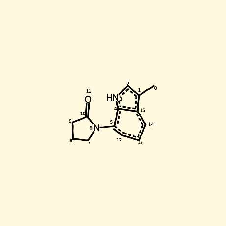 Cc1c[nH]c2c(N3CCCC3=O)cccc12